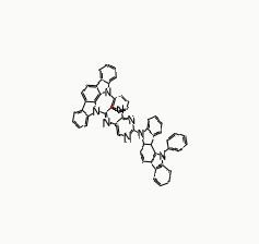 C1=Cc2c3c(n(-c4ccccc4)c2CC1)C1c2ccccc2N(c2ncc4nc(-n5c6ccccc6c6ccc7c8ccccc8n(-c8ccccc8)c7c65)cnc4n2)C1C=C3